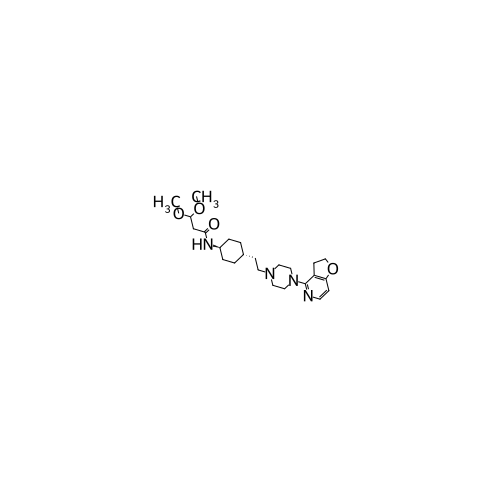 COC(CC(=O)N[C@H]1CC[C@H](CCN2CCN(c3nccc4c3CCO4)CC2)CC1)OC